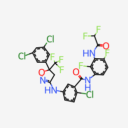 O=C(Nc1ccc(F)c(NC(=O)C(F)F)c1F)c1cc(NC2=NOC(c3cc(Cl)cc(Cl)c3)(C(F)(F)F)C2)ccc1Cl